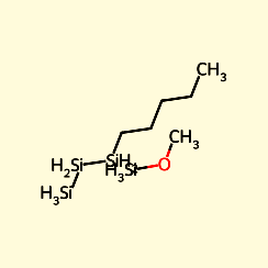 CCCCC[SiH2][SiH2][SiH3].CO[SiH3]